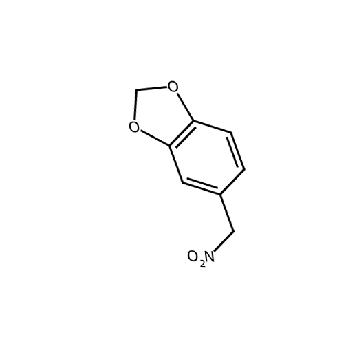 O=[N+]([O-])Cc1ccc2c(c1)OCO2